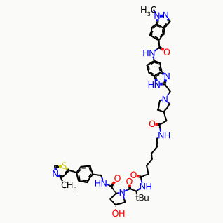 Cc1ncsc1-c1ccc(CNC(=O)[C@@H]2C[C@@H](O)CN2C(=O)C(NC(=O)CCCCCCNC(=O)CC2CCN(Cc3nc4cc(NC(=O)c5ccc6c(cnn6C)c5)ccc4[nH]3)C2)C(C)(C)C)cc1